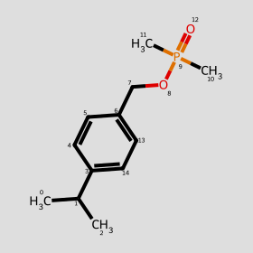 CC(C)c1ccc(COP(C)(C)=O)cc1